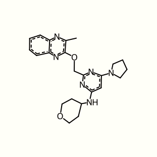 Cc1nc2ccccc2nc1OCc1nc(NC2CCOCC2)cc(N2CCCC2)n1